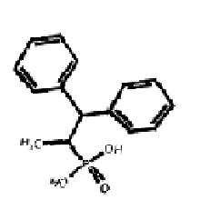 CC([C](c1ccccc1)c1ccccc1)P(=O)(O)O